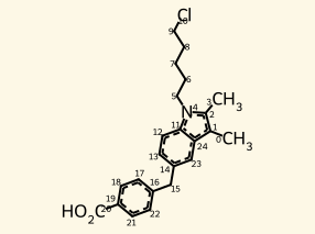 Cc1c(C)n(CCCCCCl)c2ccc(Cc3ccc(C(=O)O)cc3)cc12